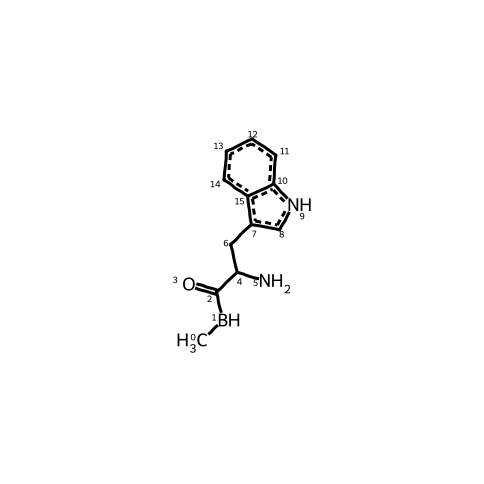 CBC(=O)C(N)Cc1c[nH]c2ccccc12